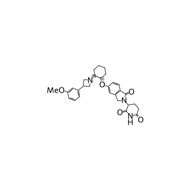 COc1cccc(C2CN([C@@H]3CCCC[C@@H]3Oc3ccc4c(c3)CN(C3CCC(=O)NC3=O)C4=O)C2)c1